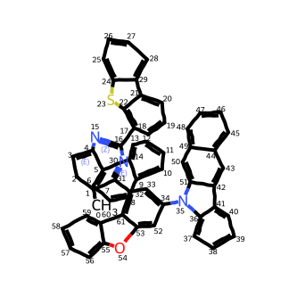 CC1C/C=C(c2cccc3ccccc23)/N=C(c2cccc3c2sc2ccccc23)\N=C/1c1cc(-n2c3ccccc3c3cc4ccccc4cc32)cc2oc3ccccc3c12